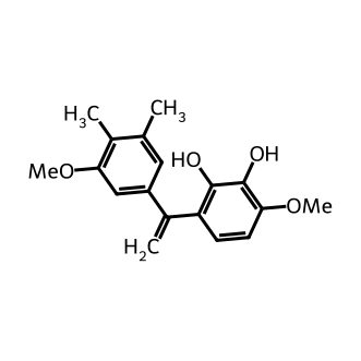 C=C(c1cc(C)c(C)c(OC)c1)c1ccc(OC)c(O)c1O